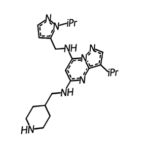 CC(C)c1cnn2c(NCc3ccnn3C(C)C)cc(NCC3CCNCC3)nc12